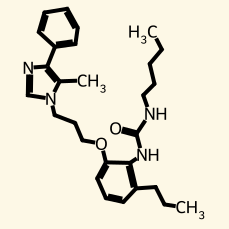 CCCCCNC(=O)Nc1c(CCC)cccc1OCCCn1cnc(-c2ccccc2)c1C